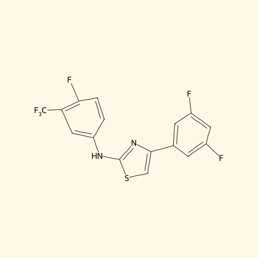 Fc1cc(F)cc(-c2csc(Nc3ccc(F)c(C(F)(F)F)c3)n2)c1